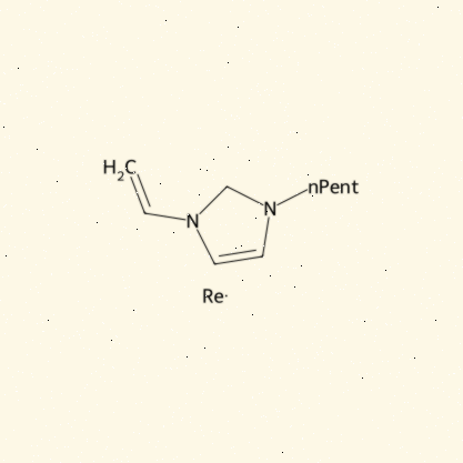 C=CN1C=CN(CCCCC)C1.[Re]